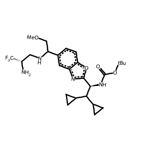 COCC(NC[C@H](N)C(F)(F)F)c1ccc2oc([C@@H](NC(=O)OC(C)(C)C)C(C3CC3)C3CC3)nc2c1